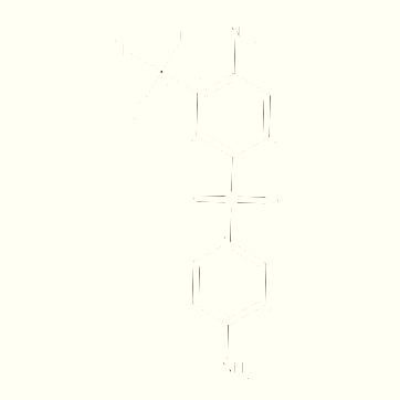 Nc1ccc(S(=O)(=O)c2ccc(N)c(C(F)(F)F)c2)cc1